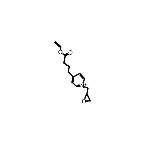 C=COC(=O)CCCc1cc[n+](CC2CO2)cc1